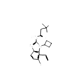 C=Cc1c(I)ccc2nc(NC(=O)CC(C)(C)C)n(C3CCC3)c12